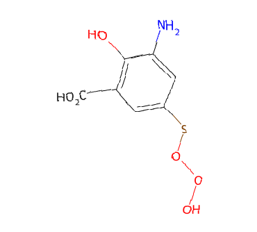 Nc1cc(SOOO)cc(C(=O)O)c1O